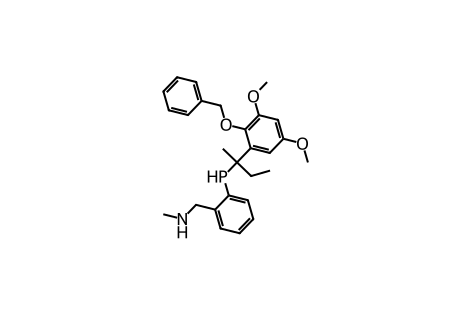 CCC(C)(Pc1ccccc1CNC)c1cc(OC)cc(OC)c1OCc1ccccc1